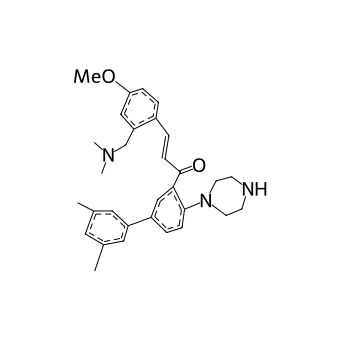 COc1ccc(C=CC(=O)c2cc(-c3cc(C)cc(C)c3)ccc2N2CCNCC2)c(CN(C)C)c1